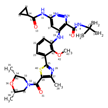 BC(B)(B)NC(=O)c1nnc(NC(=O)C2CC2)cc1Nc1cccc(-c2nc(C)c(C(=O)N3C[C@@H](C)O[C@@H](C)C3)s2)c1OC